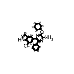 Nc1nc(-c2ccccc2)c(-c2cc(Cl)c3[nH]ncc3c2)nc1OC1CCCCC1